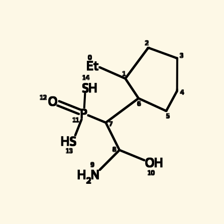 CCC1CCCCC1C(C(N)O)P(=O)(S)S